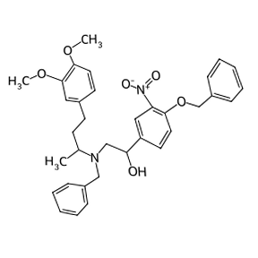 COc1ccc(CCC(C)N(Cc2ccccc2)CC(O)c2ccc(OCc3ccccc3)c([N+](=O)[O-])c2)cc1OC